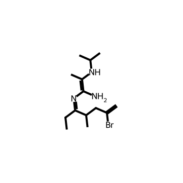 C=C(Br)CC(C)/C(CC)=N\C(N)=C(/C)NC(C)C